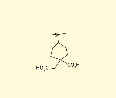 C[Si](C)(C)C1CCC(CC(=O)O)(C(=O)O)CC1